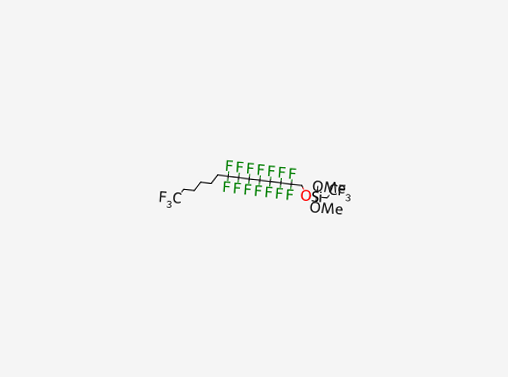 CO[Si](CC(F)(F)F)(OC)OCC(F)(F)C(F)(F)C(F)(F)C(F)(F)C(F)(F)C(F)(F)C(F)(F)CCCCCC(F)(F)F